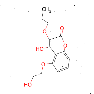 CCCOc1c(O)c2c(OCCO)cccc2oc1=O